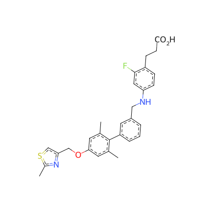 Cc1nc(COc2cc(C)c(-c3cccc(CNc4ccc(CCC(=O)O)c(F)c4)c3)c(C)c2)cs1